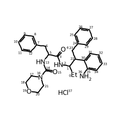 CCC(NC(=O)C(Cc1ccccc1)NC(=O)N1CCOCC1)C(Cc1ccccc1)c1ccccc1N.Cl